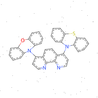 c1ccc2c(c1)Oc1ccccc1N2c1ccnc2c1ccc1c(N3c4ccccc4Sc4ccccc43)ccnc12